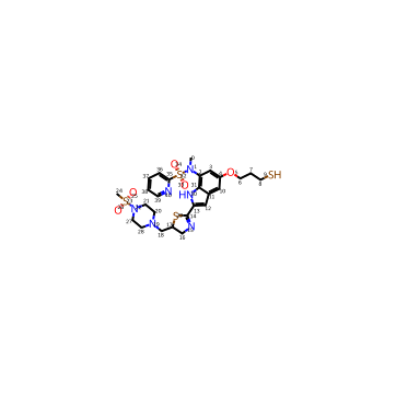 CN(c1cc(OCCCS)cc2cc(C3=NCC(CN4CCN(S(C)(=O)=O)CC4)S3)[nH]c12)S(=O)(=O)c1ccccn1